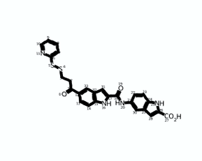 O=C(CCSSc1ccccn1)c1ccc2[nH]c(C(=O)Nc3ccc4[nH]c(C(=O)O)cc4c3)cc2c1